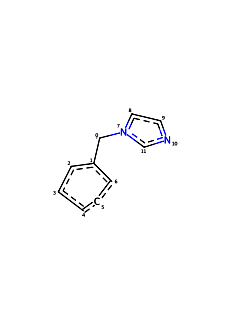 [CH](c1ccccc1)n1ccnc1